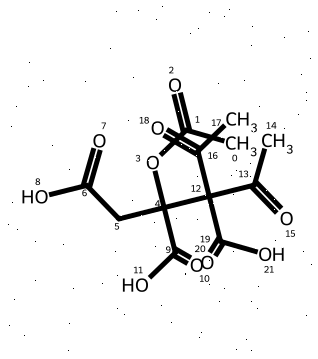 CC(=O)OC(CC(=O)O)(C(=O)O)C(C(C)=O)(C(C)=O)C(=O)O